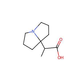 CC(C(=O)O)C12CCCN1CCC2